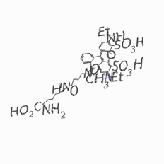 CC/N=c1/ccc2c(-c3ccccc3C(=O)N(C)CCCC(=O)NCCCCC(N)C(=O)O)c3ccc(NCC)c(S(=O)(=O)O)c3oc-2c1S(=O)(=O)O